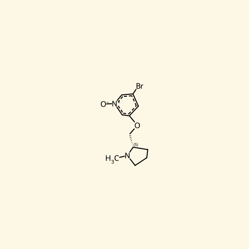 CN1CCC[C@H]1COc1cc(Br)c[n+]([O-])c1